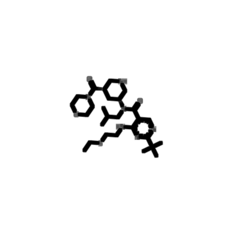 CCSCCNc1nc(C(C)(C)C)ncc1C(=O)N(CC(C)C)[C@@H]1CNC[C@H](C(=O)N2CCOCC2)C1